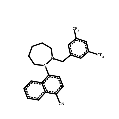 N#Cc1ccc(N2CCCCCN2Cc2cc(C(F)(F)F)cc(C(F)(F)F)c2)c2ccccc12